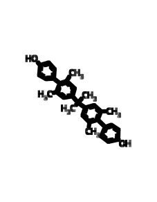 Cc1cc(C(C)(C)c2cc(C)c(-c3ccc(O)cc3)c(C)c2)cc(C)c1-c1ccc(O)cc1